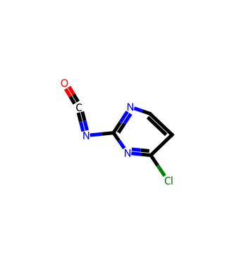 O=C=Nc1nccc(Cl)n1